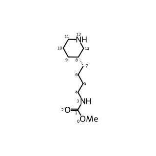 COC(=O)NCCCC[C@@H]1CCCNC1